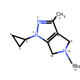 Cc1nn(C2CC2)c2c1CN(C(C)(C)C)C2